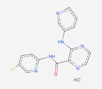 Cl.O=C(Nc1ccc(F)cn1)c1nccnc1Nc1cccnc1